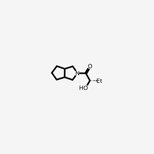 CC[C@H](O)C(=O)N1CC2CCCC2C1